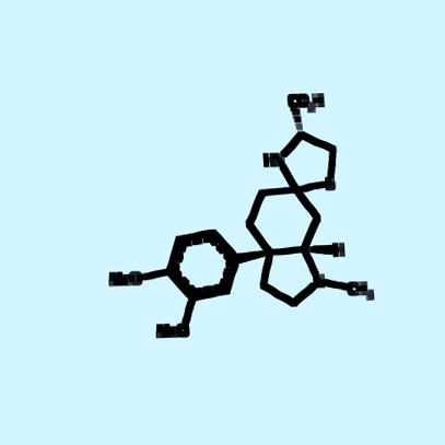 COc1ccc([C@]23CCN(C)[C@H]2CC2(CC3)N[C@H](C(=O)O)CS2)cc1OC